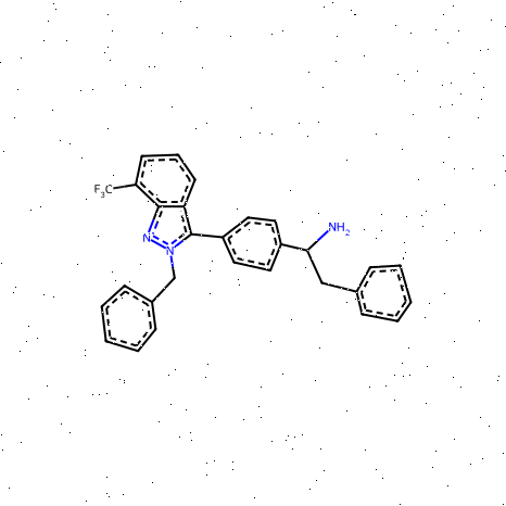 NC(Cc1ccccc1)c1ccc(-c2c3cccc(C(F)(F)F)c3nn2Cc2ccccc2)cc1